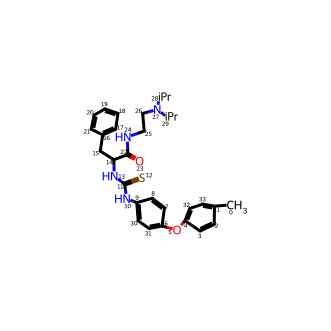 Cc1ccc(Oc2ccc(NC(=S)NC(Cc3ccccc3)C(=O)NCCN(C(C)C)C(C)C)cc2)cc1